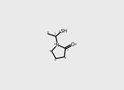 CC(S)N1CCCC1=O